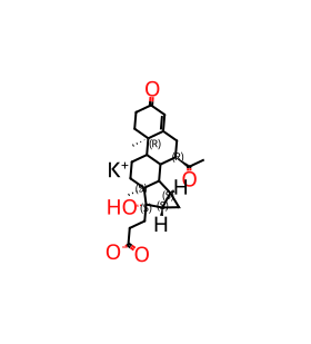 CC(=O)[C@@H]1CC2=CC(=O)CC[C@]2(C)C2CC[C@@]3(C)C(C21)[C@@H]1C[C@@H]1[C@@]3(O)CCC(=O)[O-].[K+]